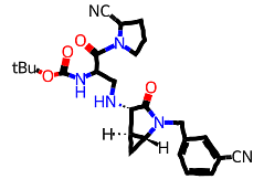 CC(C)(C)OC(=O)NC(CN[C@@H]1C(=O)N(Cc2cccc(C#N)c2)[C@@H]2C[C@@H]12)C(=O)N1CCCC1C#N